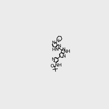 CC(C)(C)C(=O)Nc1cncc(-c2cnc3[nH]nc(-c4nc5c(N6CCCCC6)nccc5[nH]4)c3c2)c1